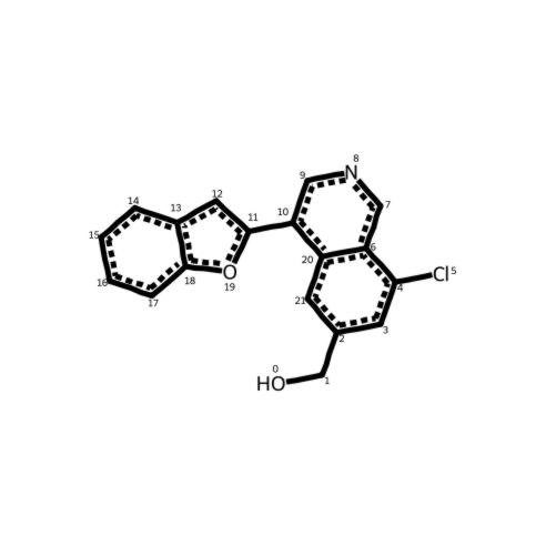 OCc1cc(Cl)c2cncc(-c3cc4ccccc4o3)c2c1